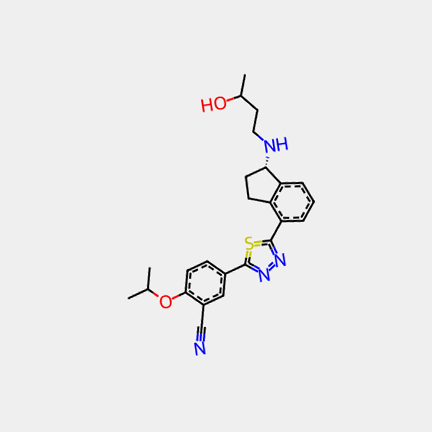 CC(O)CCN[C@H]1CCc2c(-c3nnc(-c4ccc(OC(C)C)c(C#N)c4)s3)cccc21